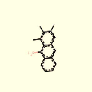 Bc1c2ccccc2cc2cc(C)c(C)c(C)c12